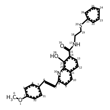 COc1ccc(C=Cc2ccc3ccc(C(=O)NCCSc4ccccc4)c(O)c3n2)cc1